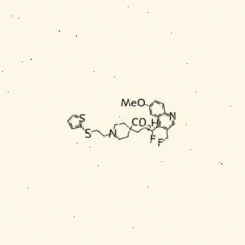 COc1ccc2ncc(CF)c(C(F)CCC3(C(=O)O)CCN(CCSc4cccs4)CC3)c2c1